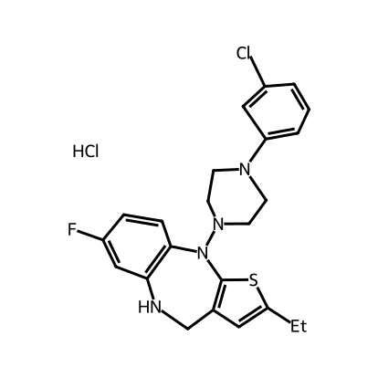 CCc1cc2c(s1)N(N1CCN(c3cccc(Cl)c3)CC1)c1ccc(F)cc1NC2.Cl